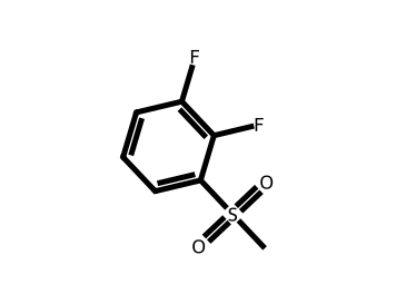 CS(=O)(=O)c1cccc(F)c1F